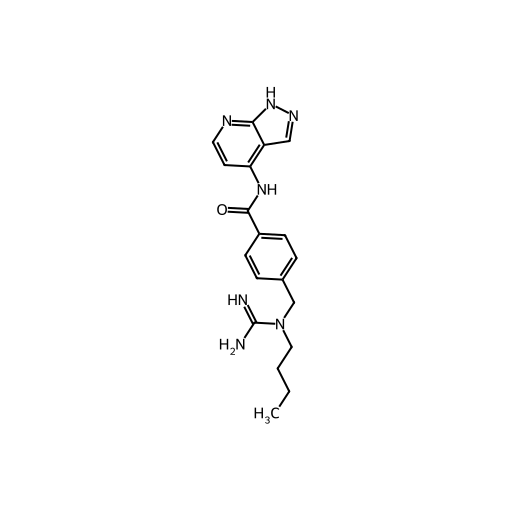 CCCCN(Cc1ccc(C(=O)Nc2ccnc3[nH]ncc23)cc1)C(=N)N